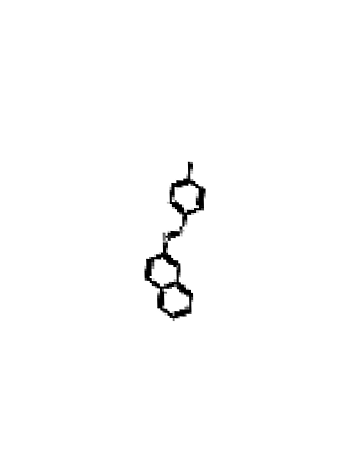 Cc1ccc(N=Nc2ccc3ccccc3c2)cc1